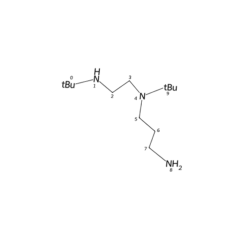 CC(C)(C)NCCN(CCCN)C(C)(C)C